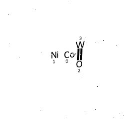 [Co].[Ni].[O]=[W]